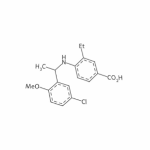 CCc1cc(C(=O)O)ccc1NC(C)c1cc(Cl)ccc1OC